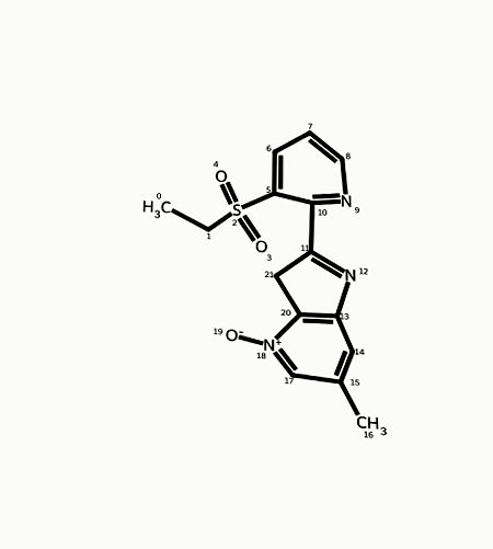 CCS(=O)(=O)c1cccnc1C1=Nc2cc(C)c[n+]([O-])c2C1